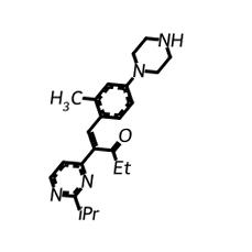 CCC(=O)/C(=C\c1ccc(N2CCNCC2)cc1C)c1ccnc(C(C)C)n1